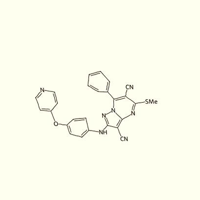 CSc1nc2c(C#N)c(Nc3ccc(Oc4ccncc4)cc3)nn2c(-c2ccccc2)c1C#N